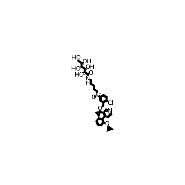 O=C(NCCCCC[S+]([O-])c1ccc(Cl)c(COC2(c3cnccc3-c3ccccc3OC3CC3)CC2)c1)[C@@H](O)[C@@H](O)[C@H](O)[C@@H](O)CO